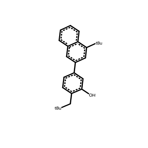 CC(C)(C)Cc1ccc(-c2cc(C(C)(C)C)c3ccccc3c2)cc1O